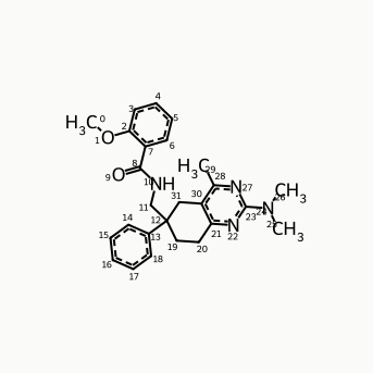 COc1ccccc1C(=O)NCC1(c2ccccc2)CCc2nc(N(C)C)nc(C)c2C1